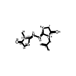 C=C(C)CN1C(=O)CSC1=NN=C1SCC(=O)N1C